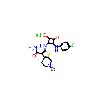 CCN1CCc2c(sc(Nc3c(Nc4ccc(Cl)cc4)c(=O)c3=O)c2C(N)=O)C1.Cl